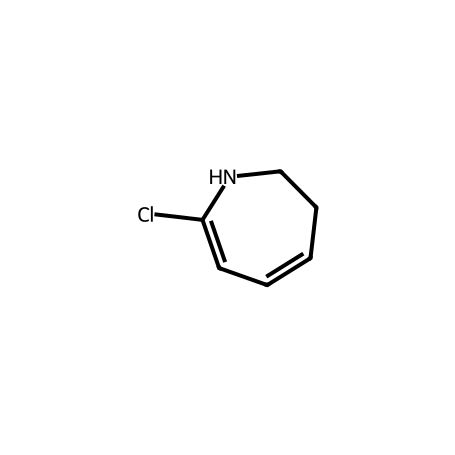 ClC1=CC=CCCN1